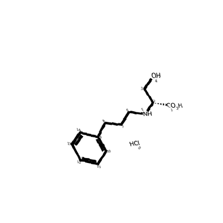 Cl.O=C(O)[C@@H](CO)NCCCc1ccccc1